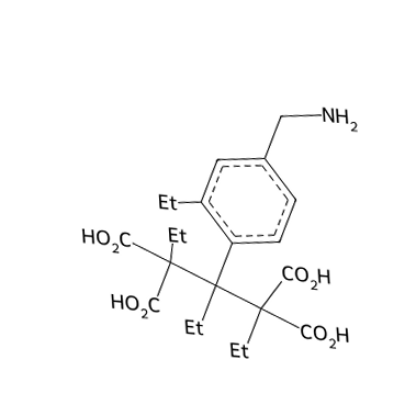 CCc1cc(CN)ccc1C(CC)(C(CC)(C(=O)O)C(=O)O)C(CC)(C(=O)O)C(=O)O